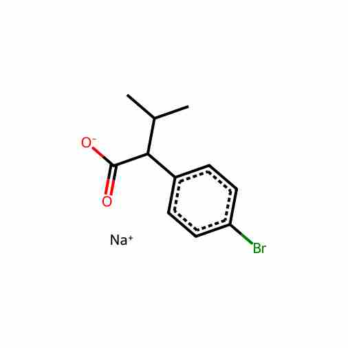 CC(C)C(C(=O)[O-])c1ccc(Br)cc1.[Na+]